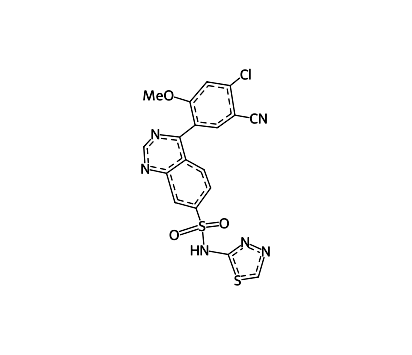 COc1cc(Cl)c(C#N)cc1-c1ncnc2cc(S(=O)(=O)Nc3nncs3)ccc12